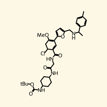 COC1=C(c2ccc(CNC(C)c3ccc(C)cc3)o2)C=C(C(=O)NCC(=O)NC2CCC(NC(=O)OC(C)(C)C)CC2)C(Cl)C1